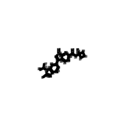 Cc1nc2ncc(-c3c[nH]c4nc(NCC5(F)CCC5)ncc34)cc2n1C(C)C